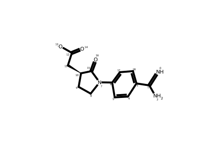 N=C(N)c1ccc(N2CC[C@@H](CC([O])=O)C2=O)cc1